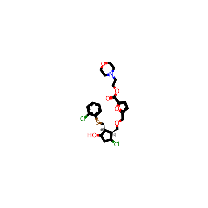 O=C(OCCN1CCOCC1)c1ccc(COC[C@H]2C(Cl)CC(O)[C@@H]2CSc2ccccc2Cl)o1